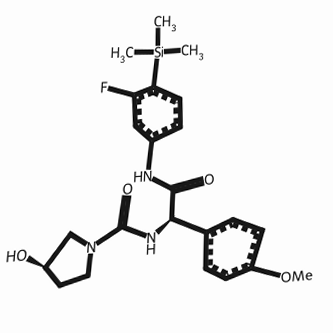 COc1ccc([C@@H](NC(=O)N2CC[C@@H](O)C2)C(=O)Nc2ccc([Si](C)(C)C)c(F)c2)cc1